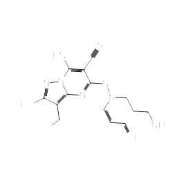 C=C/C=C\N(CCCN)Nc1nc2c(CC)c(C)nn2c(N)c1C#N